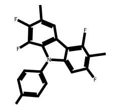 Cc1ccc(-n2c3cc(F)c(C)c(F)c3c3cc(C)c(F)c(F)c32)cc1